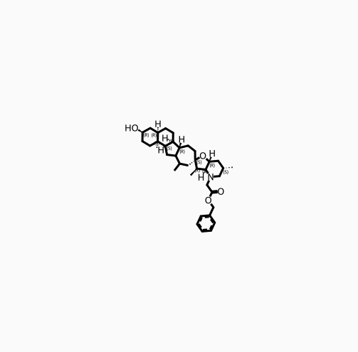 CC1C[C@]2(CC[C@@H]3C1C[C@H]1[C@H]3CC[C@@H]3C[C@H](O)CC[C@@]31C)O[C@@H]1C[C@H](C)CN(CC(=O)OCc3ccccc3)[C@H]1[C@H]2C